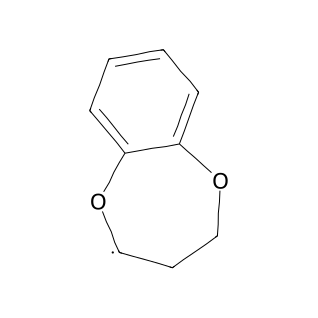 [CH]1CCOc2ccccc2O1